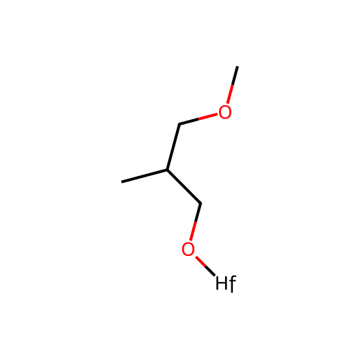 COCC(C)C[O][Hf]